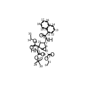 CCOC(=O)[C@H]1C2C(NC(=O)c3cccc4ccccc34)CC(NC(=O)OC(C)(C)C)(C(=O)OCC)C21